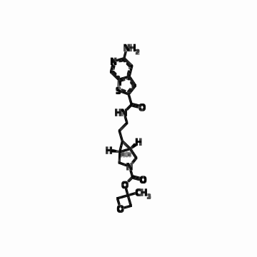 CC1(OC(=O)N2C[C@@H]3C(CCNC(=O)c4cc5cc(N)ncc5s4)[C@@H]3C2)COC1